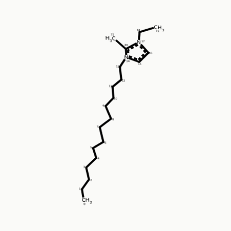 CCCCCCCCCCCCCC[n+]1ccn(CC)c1C